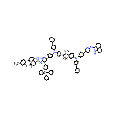 N#C/C(=C(/C#N)c1ccc(N(c2ccc(-c3ccccc3)cc2)c2ccc(-c3cnc(/N=C4\Nc5ccc(-c6ccc(C(F)(F)F)cc6C(F)(F)F)c6cccc4c56)c(-c4ccc([Si](c5ccccc5)(c5ccccc5)c5ccccc5)cc4)c3)cc2)cc1)c1ccc(N(c2ccc(-c3ccccc3)cc2)c2ccc(-c3ccc(/N=C4\Nc5cccc6cccc4c56)nc3)cc2)cc1